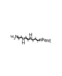 [CH2]CCCCCCCNCCNCCN